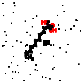 CCCCCCCCCCP(=O)(O)O.[KH]